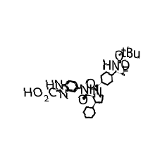 CC(C)(C)OC(=O)N[C@H](CF)[C@H]1CC[C@H](C(=O)N2CC[C@@H](C3CCCCC3)[C@H]2C(=O)Nc2ccc3[nH]c(C(=O)O)nc3c2)CC1